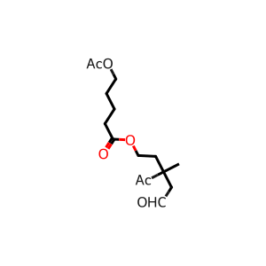 CC(=O)OCCCCC(=O)OCCC(C)(CC=O)C(C)=O